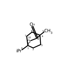 CC(C)C12CCC(C)(CC1)C(=O)O2